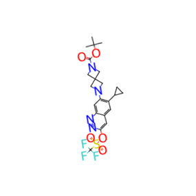 CC(C)(C)OC(=O)N1CC2(C1)CN(c1cc3nnc(OS(=O)(=O)C(F)(F)F)cc3cc1C1CC1)C2